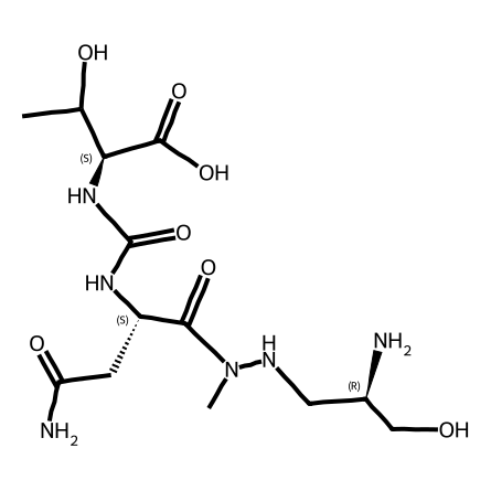 CC(O)[C@H](NC(=O)N[C@@H](CC(N)=O)C(=O)N(C)NC[C@@H](N)CO)C(=O)O